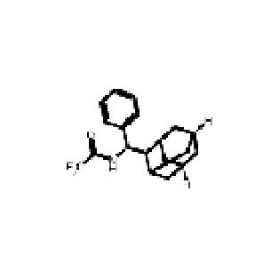 O=C(N[C@@H](c1ccccc1)C1C2C[C@H]3CC1C[C@H](C2)C3)C(F)(F)F